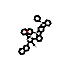 N#Cc1c(-c2ccc3ccccc3c2)nc(-c2ccccc2)nc1-c1cccc2c3cc4c5ccccc5n(-c5ccccc5)c4cc3n(-c3ccccc3)c12